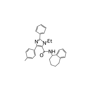 CCn1c(-c2ccccc2)nc(-c2ccc(C)cc2)c1C(=O)NC1CCCCc2ccccc21